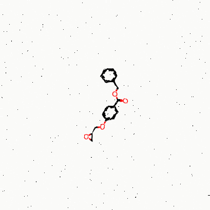 O=C(OCc1ccccc1)c1ccc(OC[C@H]2CO2)cc1